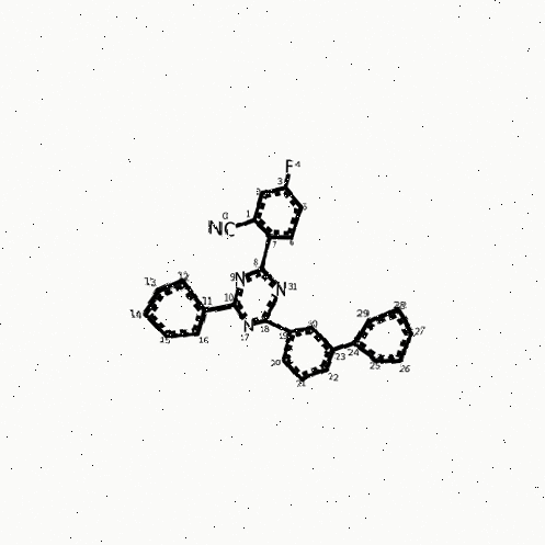 N#Cc1cc(F)ccc1-c1nc(-c2ccccc2)nc(-c2cccc(-c3ccccc3)c2)n1